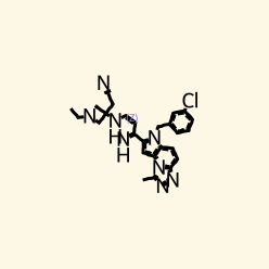 CCN1CC(CC#N)(N/C=C\C(=N)c2cc3c(ccc4nnc(C)n43)n2Cc2cccc(Cl)c2)C1